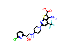 Nc1c(C(=O)O)sc2nc(N3CCC(NC[C@H](O)c4cccc(Cl)n4)CC3)cc(C(F)(F)F)c12